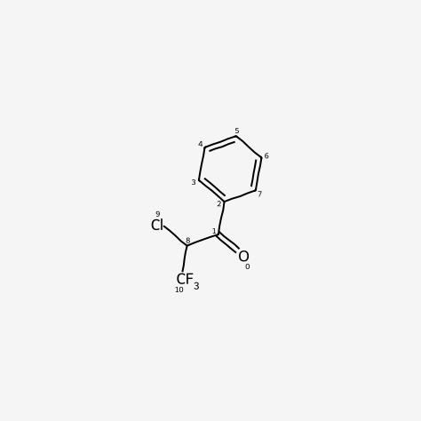 O=C(c1ccccc1)C(Cl)C(F)(F)F